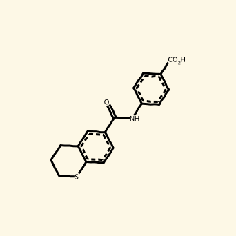 O=C(O)c1ccc(NC(=O)c2ccc3c(c2)CCCS3)cc1